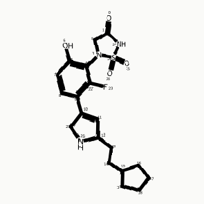 O=C1CN(c2c(O)ccc(C3=CC(CCC4CCCC4)NC3)c2F)S(=O)(=O)N1